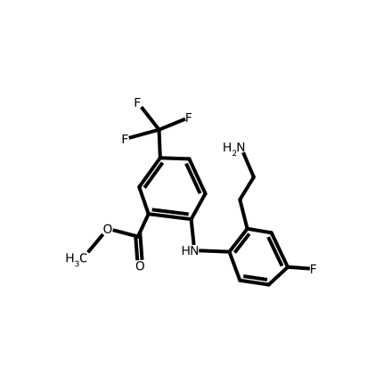 COC(=O)c1cc(C(F)(F)F)ccc1Nc1ccc(F)cc1CCN